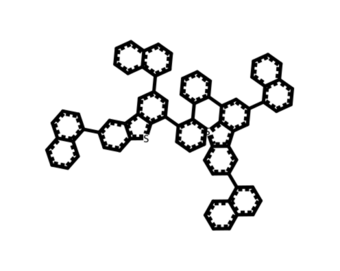 c1ccc(-c2cc(-c3cccc4ccccc34)cc3c2sc2ccc(-c4cccc5ccccc45)cc23)c(-c2ccccc2-c2cc(-c3cccc4ccccc34)cc3c2sc2ccc(-c4cccc5ccccc45)cc23)c1